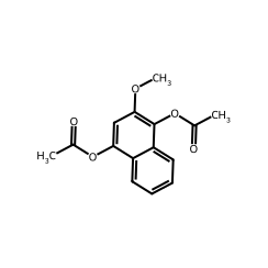 COc1cc(OC(C)=O)c2ccccc2c1OC(C)=O